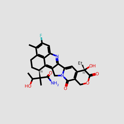 CC[C@@]1(O)C(=O)OCc2c1cc1n(c2=O)Cc2c-1nc1cc(F)c(C)c3c1c2[C@@H](C(C)(C(N)=O)C(C)O)CC3